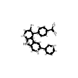 O=C(Cl)c1ccc(-c2c(F)cnc3[nH]c4cnc(-c5cccnc5)cc4c23)cc1